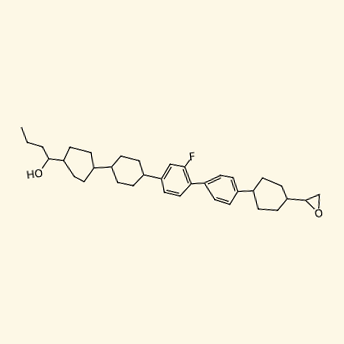 CCCC(O)C1CCC(C2CCC(c3ccc(-c4ccc(C5CCC(C6CO6)CC5)cc4)c(F)c3)CC2)CC1